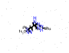 Cc1nc2ncc(-c3c[nH]c4nc(NCC(C)(C)C)ncc34)cc2n1C(C)C